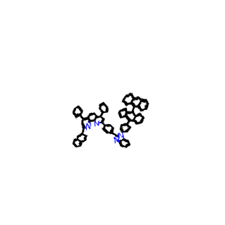 c1ccc(-c2cc(-c3ccc(-c4nc5ccccc5n4-c4ccc(-c5c6ccccc6c(-c6c7ccccc7cc7ccccc67)c6ccccc56)cc4)cc3)nc3c2ccc2c(-c4ccccc4)cc(-c4ccc5ccccc5c4)nc23)cc1